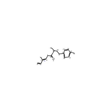 C=C/C(C)=C/CC(=O)C(C)CCc1ccc(C)cc1